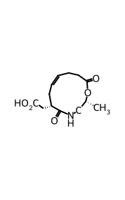 C[C@@H]1CNC(=O)[C@H](CC(=O)O)CC=CCCC(=O)O1